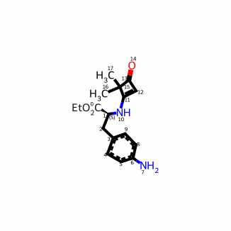 CCOC(=O)[C@H](Cc1ccc(N)cc1)NC1=CC(=O)C1(C)C